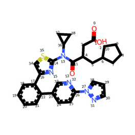 O=C(O)CC(CC1CCCC1)C(=O)N(c1nc(-c2ccccc2-c2ccc(-n3cccn3)nc2)cs1)C1CC1